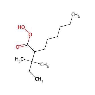 CCCCCCC(C(=O)OO)C(C)(C)CC